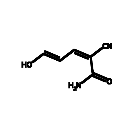 N#CC(=CC=CO)C(N)=O